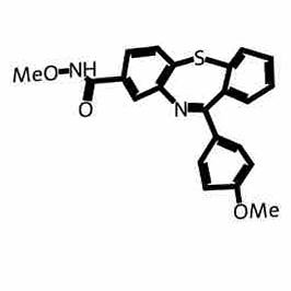 CONC(=O)c1ccc2c(c1)N=C(c1ccc(OC)cc1)c1ccccc1S2